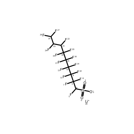 O=S(=O)([O-])C(F)C(F)(F)C(F)(F)C(F)(F)C(F)(F)C(F)(F)C(F)C(F)C(F)F.[Li+]